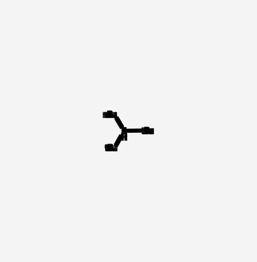 CCCC[SH](C(C)(C)C)C(C)(C)C